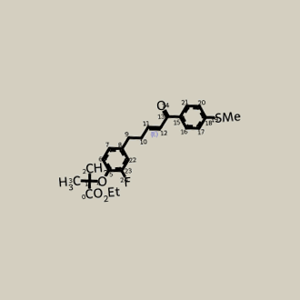 CCOC(=O)C(C)(C)Oc1ccc(CC/C=C/C(=O)c2ccc(SC)cc2)cc1F